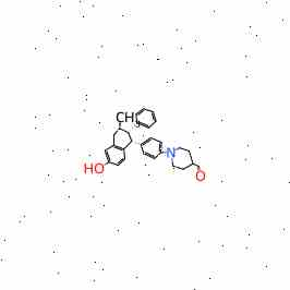 C[C@@H]1Cc2cc(O)ccc2[C@@H](c2ccc(N3CCC(C=O)CC3)cc2)[C@H]1c1ccccc1